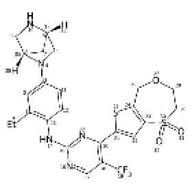 CCc1cc(N2C[C@@H]3C[C@H]2CN3)ccc1Nc1ncc(C(F)(F)F)c(-c2cc3c(s2)COCCS3(=O)=O)n1